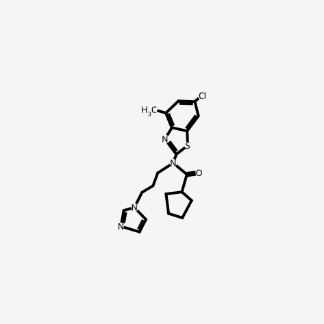 Cc1cc(Cl)cc2sc(N(CCCn3ccnc3)C(=O)C3CCCC3)nc12